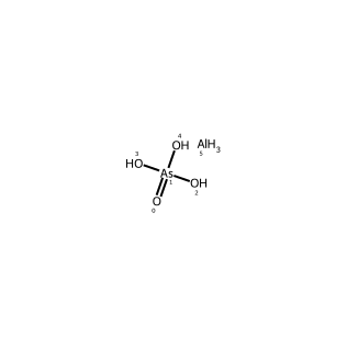 O=[As](O)(O)O.[AlH3]